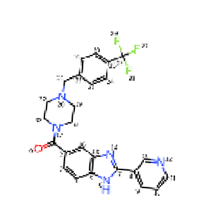 O=C(c1ccc2[nH]c(-c3cccnc3)nc2c1)N1CCN(Cc2ccc(C(F)(F)F)cc2)CC1